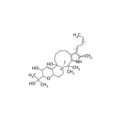 C=c1[nH]c2c(/c1=C/C=C\C)CCCCC1(O)C3=CC(O)C(C(C)(C)O)OC3CC[C@]1(I)C2(C)C